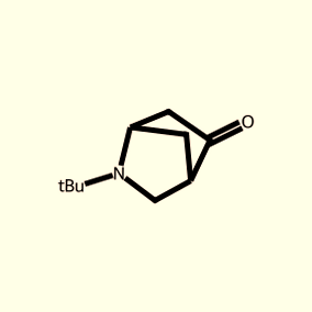 CC(C)(C)N1CC2CC1CC2=O